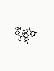 Cc1nc2nc(N[C@@H](C)c3cncc(F)c3)nc(C(=O)N3CC[C@H](O)C3)c2s1